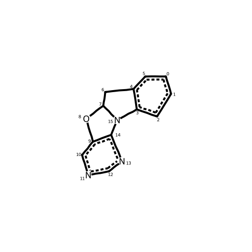 c1ccc2c(c1)CC1Oc3cncnc3N21